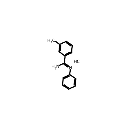 Cc1cccc(/C(N)=N/c2ccccc2)c1.Cl